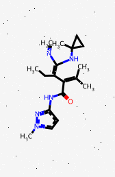 C=N/C(NC1(C)CC1)=C(\CC)C(C(=O)Nc1ccn(C)n1)=C(C)C